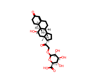 C[C@]12C[C@@H](O)[C@H]3[C@@H](CCC4=CC(=O)CC[C@@H]43)[C@@H]1CC[C@@H]2C(=O)COC1O[C@H](C(=O)O)[C@@H](O)[C@H](O)[C@H]1O